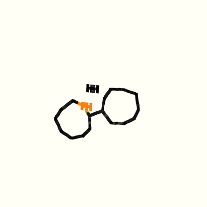 C1CCCCC(C2CCCCCCCP2)CCC1.[HH]